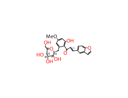 COc1cc(O)c(C(=O)/C=C/c2ccc3occc3c2)c(C[C@@H]2O[C@H](CO)[C@@H](O)[C@H](O)[C@H]2O)c1